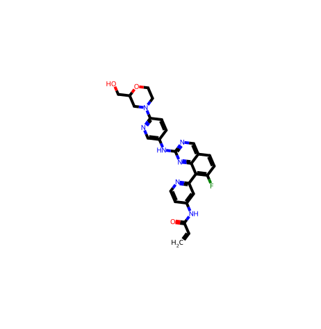 C=CC(=O)Nc1ccnc(-c2c(F)ccc3cnc(Nc4ccc(N5CCOC(CO)C5)nc4)nc23)c1